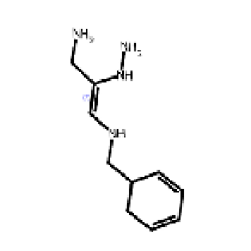 NC/C(=C/NCC1C=CC=CC1)NN